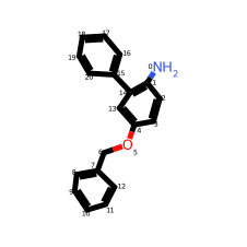 Nc1ccc(OCc2ccccc2)cc1-c1ccccc1